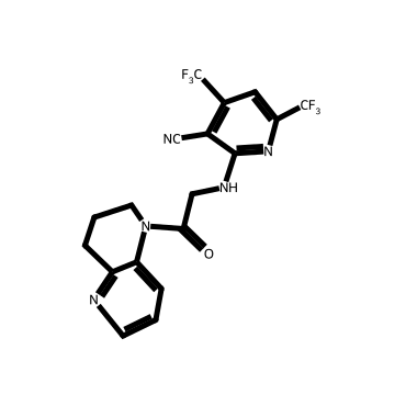 N#Cc1c(C(F)(F)F)cc(C(F)(F)F)nc1NCC(=O)N1CCCc2ncccc21